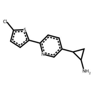 NC1CC1c1ccc(-c2ccc(Cl)s2)nc1